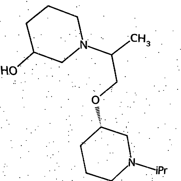 CC(C)N1CCC[C@H](OCC(C)N2CCCC(O)C2)C1